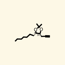 C#CC[C@@H]1OC(C)(C)O[C@H]1CCCCCCC